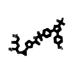 CCC(=O)OC(C)On1on1N1CCC(C(=O)NS(=O)(=O)c2ccc(-n3nc(C(F)(F)F)cc3-c3ccc(C)cc3)cc2)C1